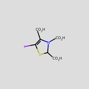 O=C(O)C1=C(I)SC(C(=O)O)N1C(=O)O